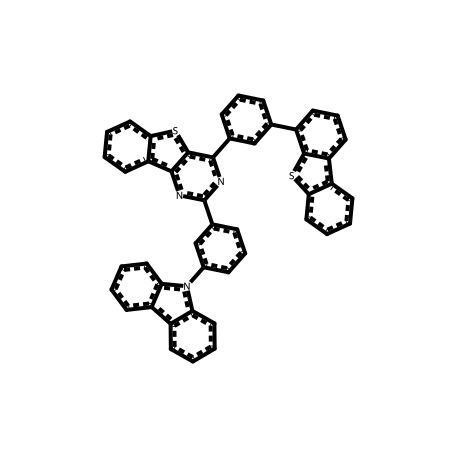 c1cc(-c2cccc3c2sc2ccccc23)cc(-c2nc(-c3cccc(-n4c5ccccc5c5ccccc54)c3)nc3c2sc2ccccc23)c1